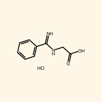 Cl.N=C(NCC(=O)O)c1ccccc1